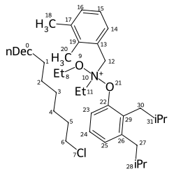 CCCCCCCCCCCCCCCCCl.CCO[N+](CC)(Cc1cccc(C)c1C)Oc1cccc(CC(C)C)c1CC(C)C